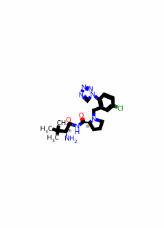 CC(C)(C)[C@@H](N)C(=O)NC(=O)[C@@H]1CCCN1Cc1cc(Cl)ccc1-n1cnnn1